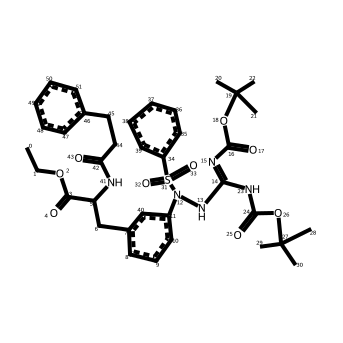 CCOC(=O)C(Cc1cccc(N(NC(=NC(=O)OC(C)(C)C)NC(=O)OC(C)(C)C)S(=O)(=O)c2ccccc2)c1)NC(=O)CCc1ccccc1